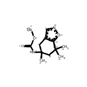 CC1(NC(=O)OC(C)(C)C)Cc2cnoc2C(C)(C)C1